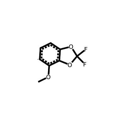 COc1[c]ccc2c1OC(F)(F)O2